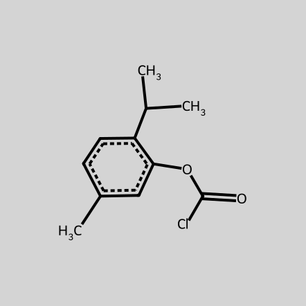 Cc1ccc(C(C)C)c(OC(=O)Cl)c1